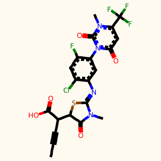 CC#CC(C(=O)O)C1SC(=Nc2cc(-n3c(=O)cc(C(F)(F)F)n(C)c3=O)c(F)cc2Cl)N(C)C1=O